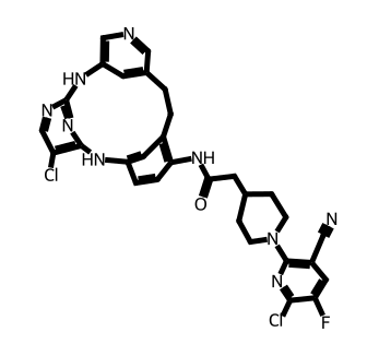 N#Cc1cc(F)c(Cl)nc1N1CCC(CC(=O)Nc2ccc3cc2CCc2cncc(c2)Nc2ncc(Cl)c(n2)N3)CC1